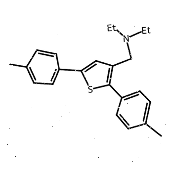 CCN(CC)Cc1cc(-c2ccc(C)cc2)sc1-c1ccc(C)cc1